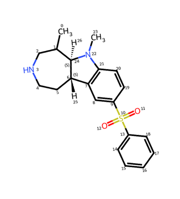 CC1CNCC[C@H]2c3cc(S(=O)(=O)c4ccccc4)ccc3N(C)[C@H]12